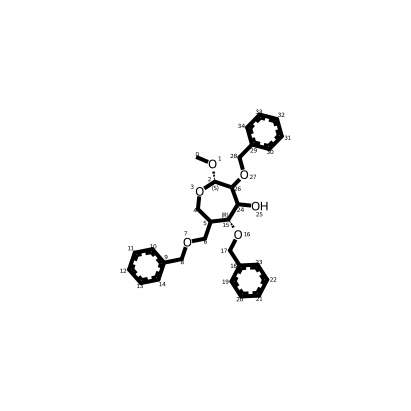 CO[C@H]1OCC(COCc2ccccc2)[C@@H](OCc2ccccc2)C(O)C1OCc1ccccc1